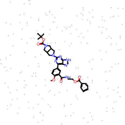 COc1ccc(-c2nc(N3CC4CN(C(=O)OC(C)(C)C)CC4C3)nc3[nH]cnc23)cc1C(=O)NCCOC(=O)c1ccccc1